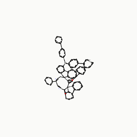 C=C1/C=C\C(c2ccccc2)=C/CC2(c3ccccc3-c3c(N(c4ccc(-c5ccccc5)cc4)c4ccc(-c5ccccc5)cc4)cccc32)c2cc(-c3ccccc3)ccc2C12c1ccccc1-c1ccccc12